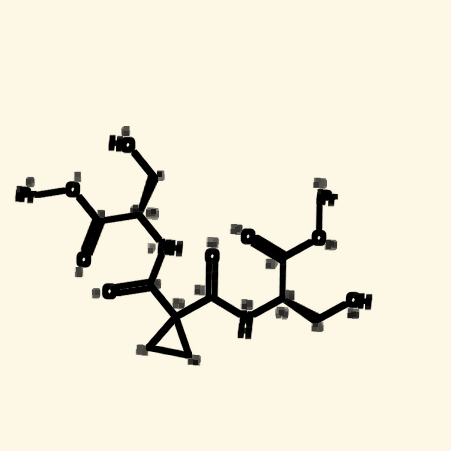 CC(C)OC(=O)[C@@H](CO)NC(=O)C1(C(=O)N[C@H](CO)C(=O)OC(C)C)CC1